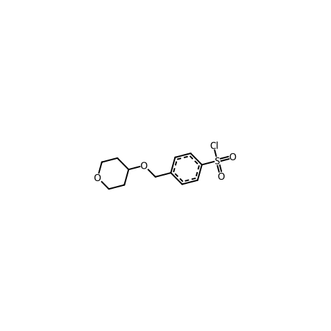 O=S(=O)(Cl)c1ccc(COC2CCOCC2)cc1